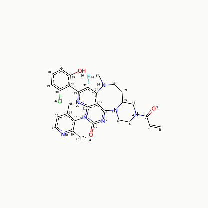 C=CC(=O)N1CCN2c3nc(=O)n(-c4c(C)ccnc4C(C)C)c4nc(-c5c(O)cccc5Cl)c(F)c(c34)N(C)CCC2C1